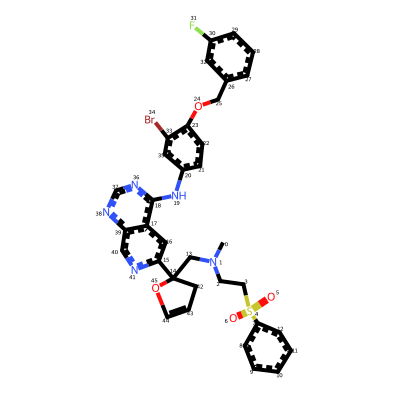 CN(CCS(=O)(=O)c1ccccc1)CC1(c2cc3c(Nc4ccc(OCc5cccc(F)c5)c(Br)c4)ncnc3cn2)CC=CO1